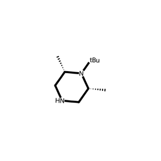 C[C@@H]1CNC[C@H](C)N1C(C)(C)C